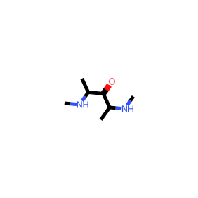 CNC(C)C(=O)C(C)NC